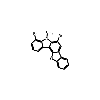 Cn1c2c(Br)cccc2c2c3oc4ccccc4c3cc(Br)c21